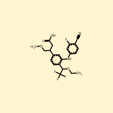 CCOC(c1ccc(C(COC)CC(=O)O)cc1Nc1ccc(C#N)c(F)c1)C(F)(F)F